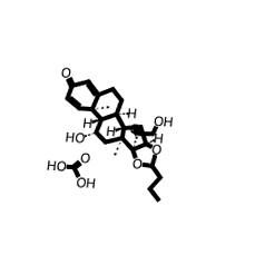 CCCC1O[C@@H]2C[C@H]3[C@@H]4CCC5=CC(=O)C=C[C@]5(C)[C@H]4[C@@H](O)C[C@]3(C)[C@]2(C(=O)CO)O1.O=C(O)O